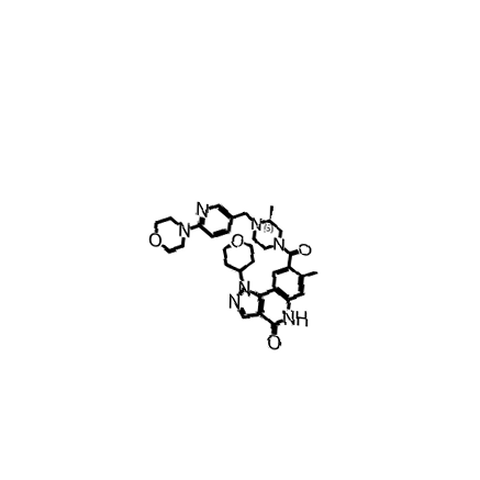 Cc1cc2[nH]c(=O)c3cnn(C4CCOCC4)c3c2cc1C(=O)N1CCN(Cc2ccc(N3CCOCC3)nc2)[C@@H](C)C1